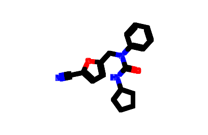 N#Cc1ccc(CN(C(=O)NC2CCCC2)c2ccccc2)o1